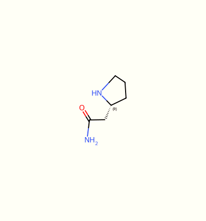 NC(=O)C[C@H]1CCCN1